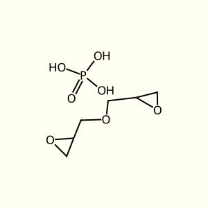 C(OCC1CO1)C1CO1.O=P(O)(O)O